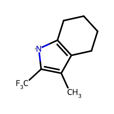 CC1=C(C(F)(F)F)[N]C2=C1CCCC2